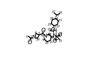 CC(=O)N1CC(C(=O)N2CCC[C@@H](NS(C)(=O)=O)[C@H]2CO[C@H]2CC[C@@H](C(C)C)CC2)C1